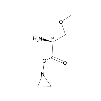 COC[C@H](N)C(=O)ON1CC1